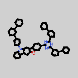 c1ccc(-c2cccc(-c3ccc(-n4c5ccccc5c5cc6oc7cc(-c8nc(-c9cccc(-c%10ccccc%10)c9)nc(-c9cccc(-c%10ccccc%10)c9)n8)ccc7c6cc54)cc3)c2)cc1